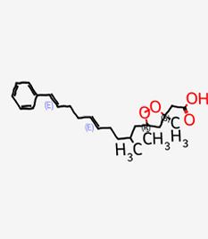 CC(CC/C=C/CC/C=C/c1ccccc1)C[C@]1(C)C[C@@](C)(CC(=O)O)OO1